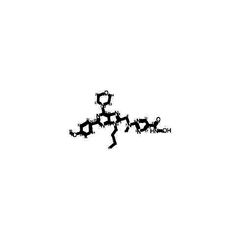 CCCCn1c(CN(C)c2ncc(C(=O)NO)cn2)nc2c(N3CCOCC3)nc(-c3ccc(OC)cc3)nc21